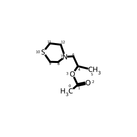 CC(=O)OC(C)CN1CCSCC1